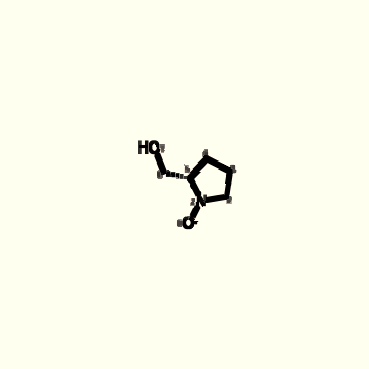 [O]N1CCC[C@H]1CO